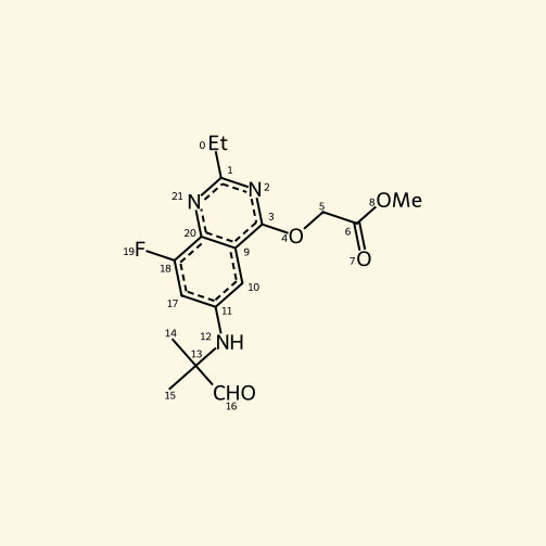 CCc1nc(OCC(=O)OC)c2cc(NC(C)(C)C=O)cc(F)c2n1